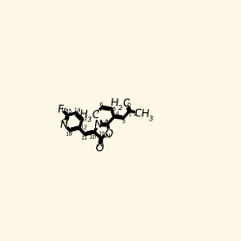 C=C(C)/C=C(\C=C/C)C1=N/C(=C\c2ccc(F)nc2)C(=O)O1